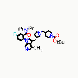 Cc1cncc2c1c(C[C@@H]1CCN(CC3CCN(C(=O)OC(C)(C)C)CC3)C1)cn2-c1ccc(F)cc1C(=O)N(C(C)C)C(C)C